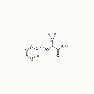 CC(C)COC(=O)C(OCc1ccccc1)C1CC1